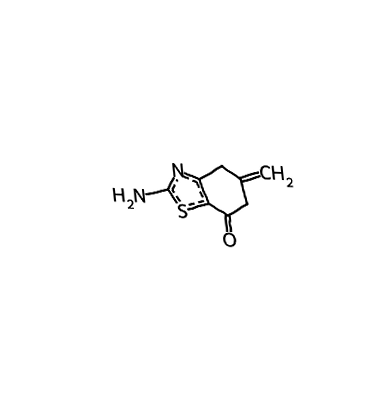 C=C1CC(=O)c2sc(N)nc2C1